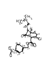 CN(C)C=N[C@@H]1C(=O)N2C(C(=O)OCc3ccc([N+](=O)[O-])cc3)=C(Cl)CS[C@@H]12